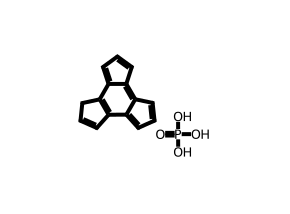 C1=Cc2c3c(c4c(c2=C1)C=CC4)=CC=C3.O=P(O)(O)O